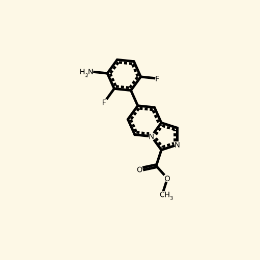 COC(=O)c1ncc2cc(-c3c(F)ccc(N)c3F)ccn12